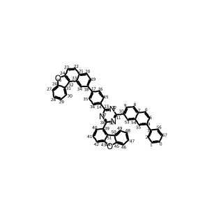 c1ccc(-c2ccc3ccc(-c4nc(-c5ccc(-c6ccc7ccc8oc9ccccc9c8c7c6)cc5)nc(-c5cccc6oc7ccccc7c56)n4)cc3c2)cc1